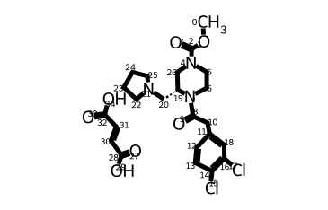 COC(=O)N1CCN(C(=O)Cc2ccc(Cl)c(Cl)c2)[C@H](CN2CCCC2)C1.O=C(O)/C=C/C(=O)O